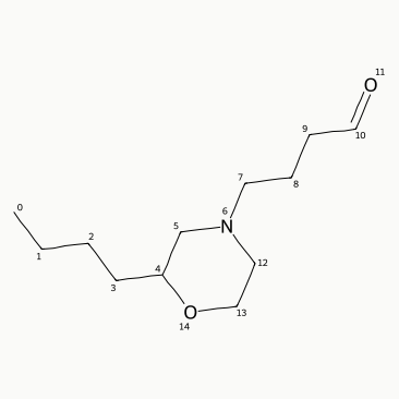 CCCCC1CN(CCCC=O)CCO1